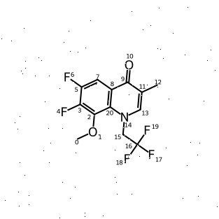 COc1c(F)c(F)cc2c(=O)c(C)cn(CC(F)(F)F)c12